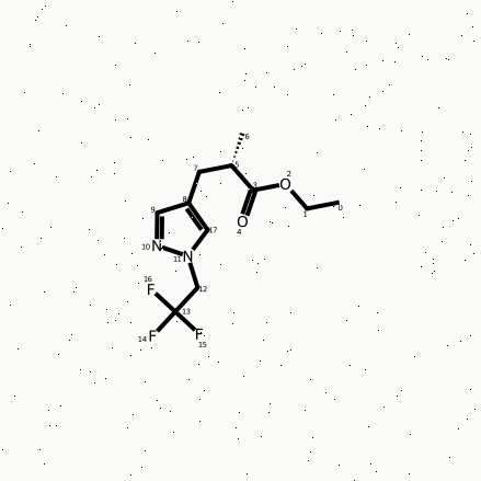 CCOC(=O)[C@@H](C)Cc1cnn(CC(F)(F)F)c1